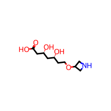 O=C(O)C[C@H](O)C[C@H](O)CCOC1CNC1